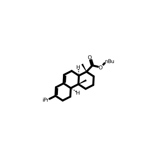 CCCCOC(=O)[C@]1(C)CCC[C@@]2(C)[C@H]1CC=C1C=C(C(C)C)CC[C@@H]12